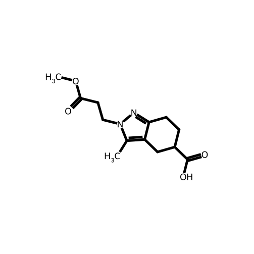 COC(=O)CCn1nc2c(c1C)CC(C(=O)O)CC2